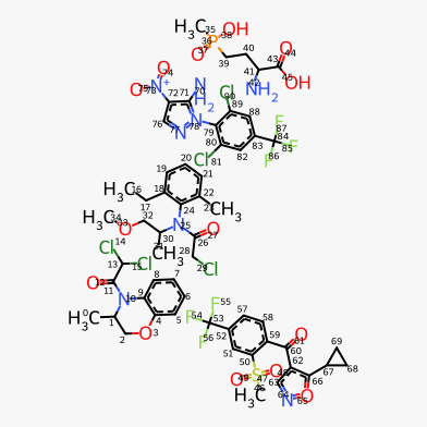 CC1COc2ccccc2N1C(=O)C(Cl)Cl.CCc1cccc(C)c1N(C(=O)CCl)C(C)COC.CP(=O)(O)CCC(N)C(=O)O.CS(=O)(=O)c1cc(C(F)(F)F)ccc1C(=O)c1cnoc1C1CC1.Nc1c([N+](=O)[O-])cnn1-c1c(Cl)cc(C(F)(F)F)cc1Cl